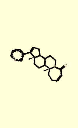 C[C@]12CCC3C(CCN4C(=O)C=CCC[C@]34C)C1CC=C2c1cccnc1